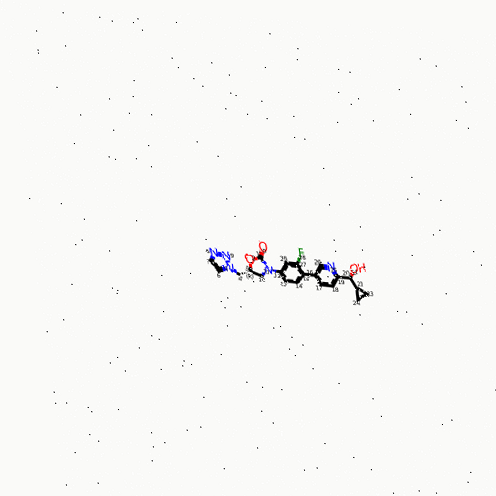 O=C1O[C@@H](Cn2ccnn2)CN1c1ccc(-c2ccc(C(O)C3CC3)nc2)c(F)c1